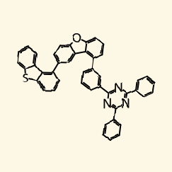 c1ccc(-c2nc(-c3ccccc3)nc(-c3cccc(-c4cccc5oc6ccc(-c7cccc8sc9ccccc9c78)cc6c45)c3)n2)cc1